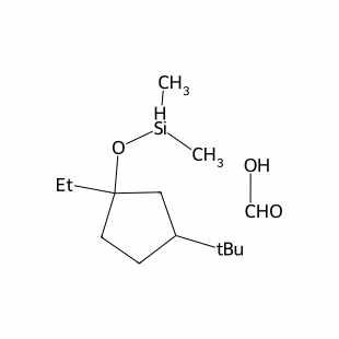 CCC1(O[SiH](C)C)CCC(C(C)(C)C)C1.O=CO